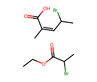 CC(=CC(C)Br)C(=O)O.CCOC(=O)C(C)Br